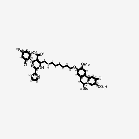 COC(=O)C1=C(CNCCCCCCOc2cc3c(cc2OC)-c2cc(=O)c(C(=O)O)cn2C(C(C)(C)C)C3)NC(c2nccs2)=N[C@H]1c1ccc(F)cc1Cl